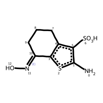 Nc1sc2c(c1S(=O)(=O)O)CCC/C2=N\O